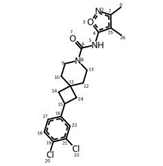 Cc1noc(NC(=O)N2CCC3(CC2)CC(c2ccc(Cl)c(Cl)c2)C3)c1C